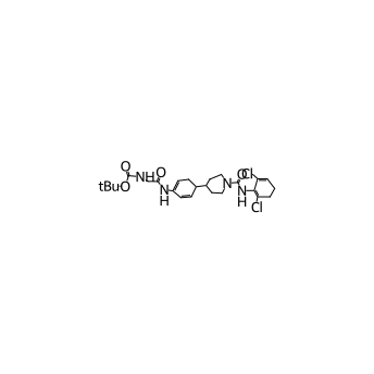 CC(C)(C)OC(=O)NCC(=O)NC1=CCC(C2CCN(C(=O)NC3=C(Cl)CCC=C3Cl)CC2)C=C1